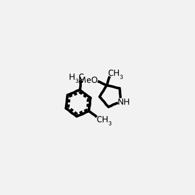 COC1(C)CCNC1.Cc1cccc(C)c1